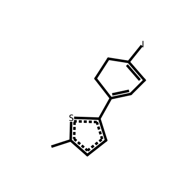 Cc1ccc(C2=CC=C(I)CC2)s1